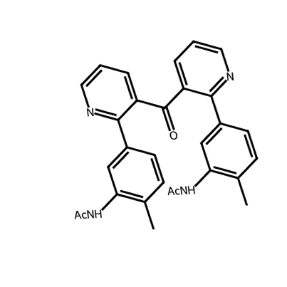 CC(=O)Nc1cc(-c2ncccc2C(=O)c2cccnc2-c2ccc(C)c(NC(C)=O)c2)ccc1C